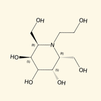 OCCN1[C@H](CO)[C@H](O)C(O)[C@@H](O)[C@H]1CO